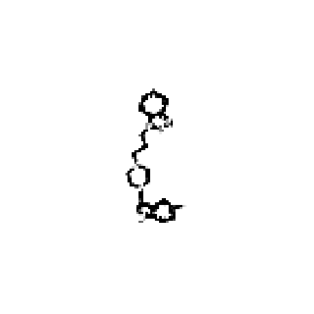 Fc1ccc2occ(N3CCN(CCCn4nnc5ccccc54)CC3)c2c1